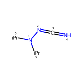 CC(C)N(N=C=N)C(C)C